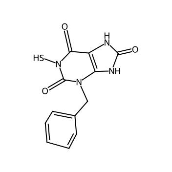 O=c1[nH]c2c(=O)n(S)c(=O)n(Cc3ccccc3)c2[nH]1